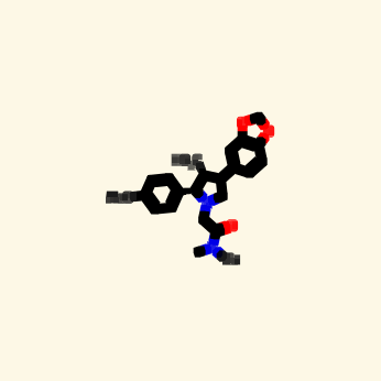 CCC(C)N(C)C(=O)CN1CC(c2ccc3c(c2)OCO3)[C@H](C(=O)O)[C@H]1c1ccc(OC)cc1